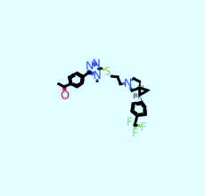 CC(=O)c1ccc(-c2nnc(SCCCN3CC[C@]4(C[C@@H]4c4ccc(C(F)(F)F)cc4)C3)n2C)cc1